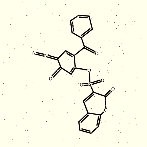 [N-]=[N+]=C1C=C(C(=O)c2ccccc2)C(OS(=O)(=O)c2cc3ccccc3oc2=O)=CC1=O